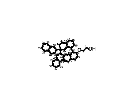 OCCOc1ccc2ccccc2c1-c1cccc2c1=CC(c1ccc3ccccc3c1)(c1ccc3ccccc3c1)CC=2